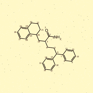 NC(=O)C(CCC(c1ccccc1)c1ccccc1)CC1CCCc2ccccc21